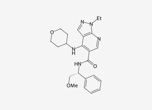 CCn1ncc2c(NC3CCOCC3)c(C(=O)N[C@@H](COC)c3ccccc3)cnc21